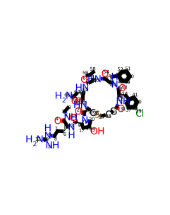 CCNC(=O)[C@@H](CCCNC(=N)N)NC(=O)[C@@H]1C[C@@H](O)CN1C(=O)[C@@H]1CSCCCC(=O)N[C@@H](Cc2ccc(Cl)cc2)C(=O)N[C@@H](Cc2ccccc2)C(=O)N[C@@H](C(C)C)C(=O)N[C@@H](CC(N)=O)C(=O)N1